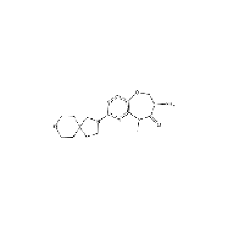 CN1C(=O)C(N)COc2ccc(N3CCC4(CCOCC4)C3)nc21